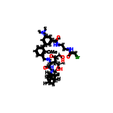 COc1c(CN2O[C@@H](CO)[C@@H]([C@H](C)O)[C@H]2C(=O)N[C@H]2C[C@H]3C[C@@H]([C@@H]2C)C3(C)C)cccc1-c1cc(C(=O)NCCNC(=O)CBr)cc(N(C)C)c1